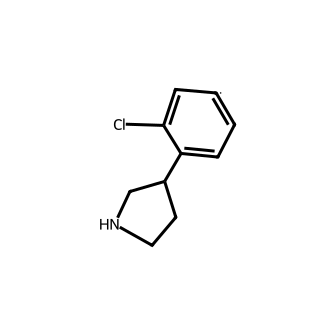 Clc1c[c]ccc1C1CCNC1